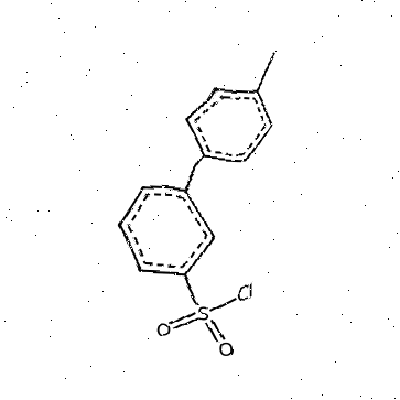 Cc1ccc(-c2cccc(S(=O)(=O)Cl)c2)cc1